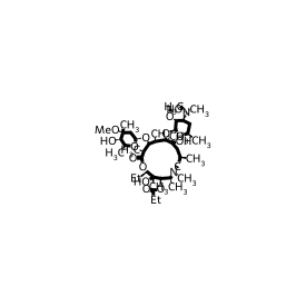 CCC(=O)O[C@@H]1[C@@H](C)N(C)C[C@H](C)C[C@@](C)(O)[C@H](O[C@@H]2O[C@H](C)C[C@H](N(C)C)[C@H]2O[N+](=O)[O-])[C@@H](C)[C@H](O[C@H]2C[C@@](C)(OC)[C@@H](O)[C@H](C)O2)[C@@H](C)C(=O)O[C@H](CC)[C@@]1(C)O